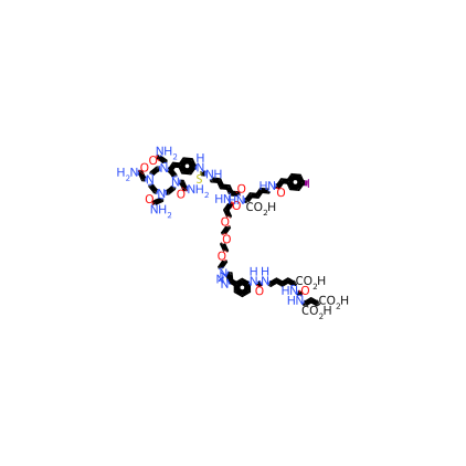 NC(=O)CN1CCN(CC(N)=O)CCN(CC(N)=O)C(Cc2ccc(NC(=S)NCCCCC(NC(=O)CCOCCOCCOCCn3cc(-c4cccc(NC(=O)NCCCCC(NC(=O)NC(CCC(=O)O)C(=O)O)C(=O)O)c4)nn3)C(=O)NC(CCCCNC(=O)Cc3ccc(I)cc3)C(=O)O)cc2)CN(CC(N)=O)CC1